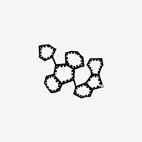 c1ccc(-c2c3ccccc3c(-c3cccc4oc5ccccc5c34)c3ccccc23)cc1